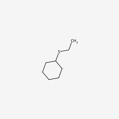 CCSC1[CH]CC[CH]C1